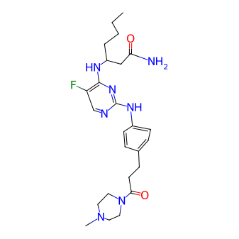 CCCCC(CC(N)=O)Nc1nc(Nc2ccc(CCC(=O)N3CCN(C)CC3)cc2)ncc1F